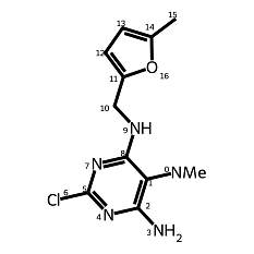 CNc1c(N)nc(Cl)nc1NCc1ccc(C)o1